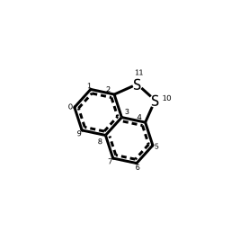 c1cc2c3c(cccc3c1)SS2